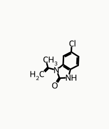 C=C(C)n1c(=O)[nH]c2ccc(Cl)cc21